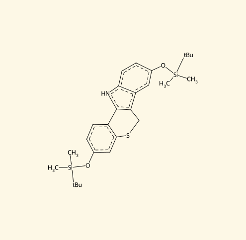 CC(C)(C)[Si](C)(C)Oc1ccc2c(c1)SCc1c-2[nH]c2ccc(O[Si](C)(C)C(C)(C)C)cc12